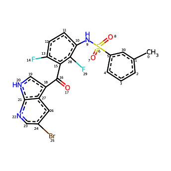 Cc1cccc(S(=O)(=O)Nc2ccc(F)c(C(=O)c3c[nH]c4ncc(Br)cc34)c2F)c1